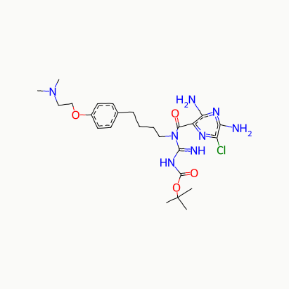 CN(C)CCOc1ccc(CCCCN(C(=N)NC(=O)OC(C)(C)C)C(=O)c2nc(Cl)c(N)nc2N)cc1